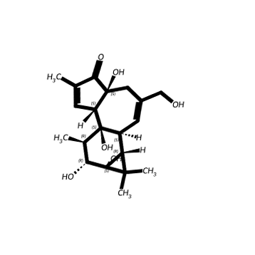 CC1=C[C@H]2[C@@]3(O)[C@H](C)[C@@H](O)[C@]4(O)[C@H]([C@@H]3C=C(CO)C[C@@]2(O)C1=O)C4(C)C